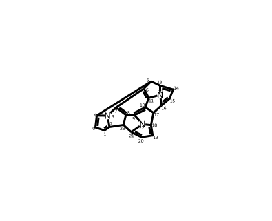 c1cc2n3c1C1c4c-3c3c5c6c4-n4c1ccc4C6c1ccc(n1-5)C32